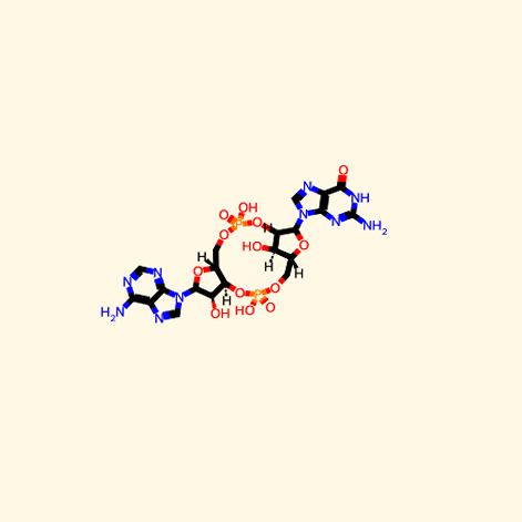 Nc1nc2c(ncn2C2O[C@@H]3COP(=O)(O)O[C@@H]4[C@@H](COP(=O)(O)O[C@@H]2[C@@H]3O)OC(n2cnc3c(N)ncnc32)[C@@H]4O)c(=O)[nH]1